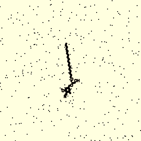 CCCCCCCCCCCCCCCCCCOC[C@H](CO)OCc1cc(C)c(C#N)c(OC)c1